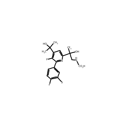 CC(C)(O)c1cc(C(O)(CNC(=O)O)C(F)(F)F)nc(-c2ccc(F)c(F)c2)c1F